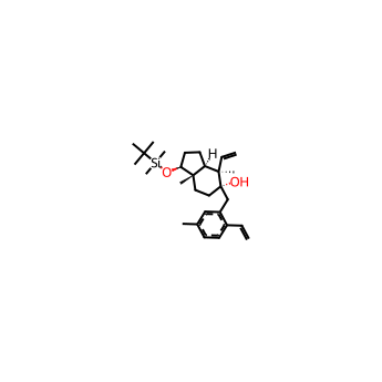 C=Cc1ccc(C)cc1C[C@@]1(O)CC[C@]2(C)[C@@H](O[Si](C)(C)C(C)(C)C)CC[C@H]2[C@@]1(C)C=C